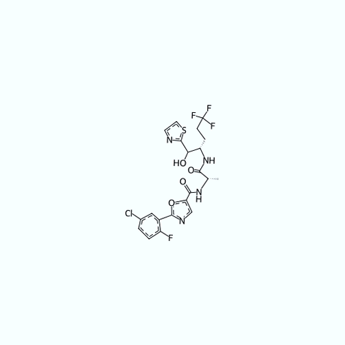 C[C@H](NC(=O)c1cnc(-c2cc(Cl)ccc2F)o1)C(=O)N[C@@H](CCC(F)(F)F)C(O)c1nccs1